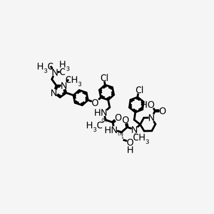 C[C@H](NCc1ccc(Cl)cc1Oc1ccc(-c2cnc(CN(C)C)n2C)cc1)C(=O)N[C@@H](CO)C(=O)N(C)C1(Cc2ccc(Cl)cc2)CCCN(C(=O)O)C1